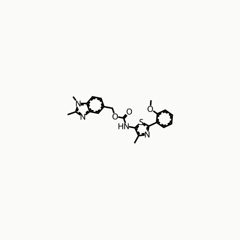 COc1ccccc1-c1nc(C)c(NC(=O)OCc2ccc3c(c2)nc(C)n3C)s1